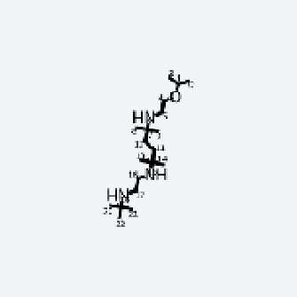 CC(C)OCCNC(C)(C)CCC(C)(C)NCCNC(C)(C)C